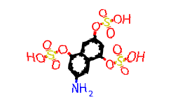 Nc1cc(OS(=O)(=O)O)c2cc(OS(=O)(=O)O)cc(OS(=O)(=O)O)c2c1